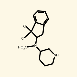 O=C(O)N(C1CCCNC1)C1Cc2ccccc2C1(Cl)Cl